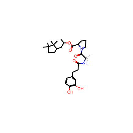 CC(CC1CCC(C)(C)C1(C)C)OC(=O)C1CCCN1C(=O)[C@H](C)NC(=O)CCc1ccc(O)c(O)c1